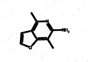 Cc1nc(N)c(C)c2occc12